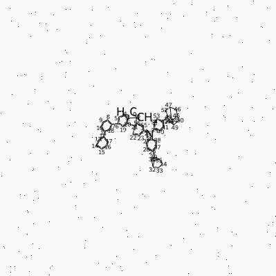 CC1(C)c2ccc(-c3cccc(-c4ccccc4)c3)cc2-c2ccc(N(c3ccc(C4CC5CCC4C5)cc3)c3ccc(C45CC6CC(CC(C6)C4)C5)cc3)cc21